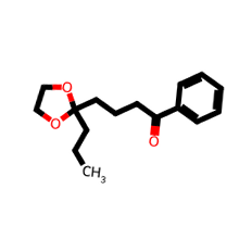 CCCC1(CCCC(=O)c2ccccc2)OCCO1